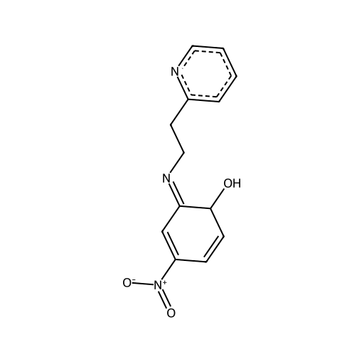 O=[N+]([O-])C1=CC(=NCCc2ccccn2)C(O)C=C1